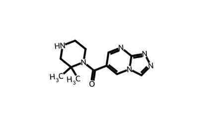 CC1(C)CNCCN1C(=O)c1cnc2nncn2c1